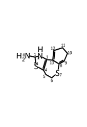 NC1NC2=C(CCSC3=CCCC=C32)S1